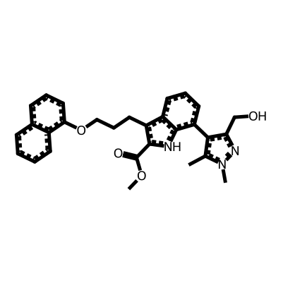 COC(=O)c1[nH]c2c(-c3c(CO)nn(C)c3C)cccc2c1CCCOc1cccc2ccccc12